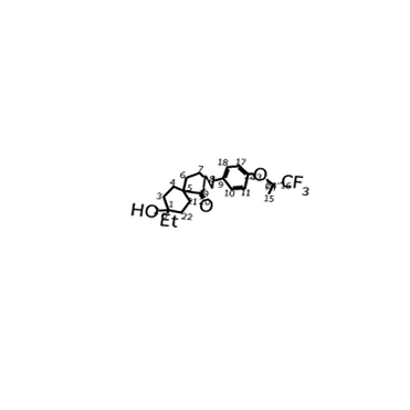 CCC1(O)CCC2(CCN(c3ccc(O[C@@H](C)C(F)(F)F)cc3)C2=O)CC1